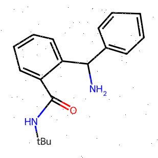 CC(C)(C)NC(=O)c1ccccc1C(N)c1ccccc1